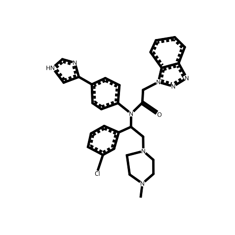 CN1CCN(CC(c2cccc(Cl)c2)N(C(=O)Cn2nnc3ccccc32)c2ccc(-c3c[nH]cn3)cc2)CC1